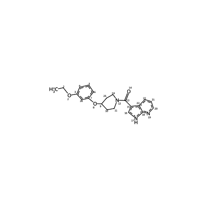 CCOc1cccc(OC2CCN(C(=O)c3c[nH]c4ncccc34)CC2)c1